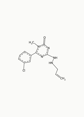 C=CCNNc1nc(-c2cccc(Cl)c2)n(C)c(=O)n1